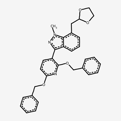 Cn1nc(-c2ccc(OCc3ccccc3)nc2OCc2ccccc2)c2cccc(CC3OCCO3)c21